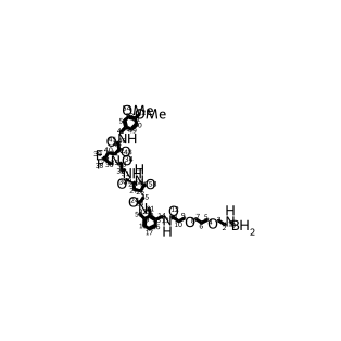 BNCCOCCCOCCC(=O)NCc1cccc2c1CN(C(=O)C[C@@H]1C[C@@H](C(=O)NCC(=O)N3CC(F)(F)CC3C(=O)C(=O)NCc3ccc(OC)c(OC)c3)NC1=O)C2